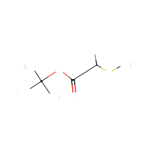 CSC(Cl)C(=O)OC(C)(C)C